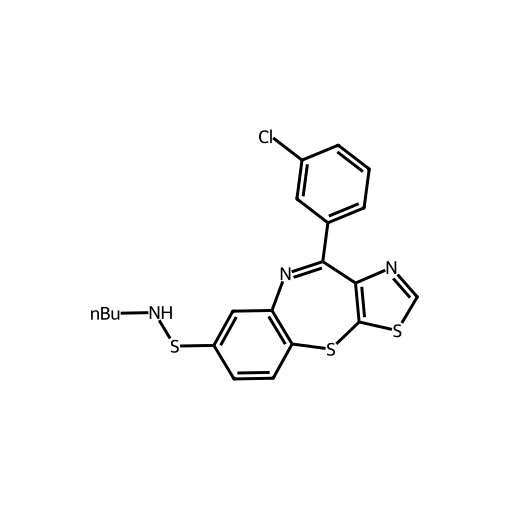 CCCCNSc1ccc2c(c1)N=C(c1cccc(Cl)c1)c1ncsc1S2